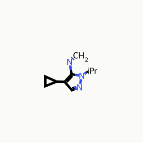 C=Nc1c(C2CC2)cnn1C(C)C